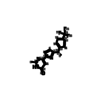 Cc1nc(-n2ccc([C@@H](C)c3ccc(C(F)(F)F)cc3)n2)cc(=O)[nH]1